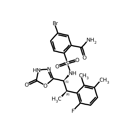 Cc1ccc(F)c([C@@H](C)[C@H](NS(=O)(=O)c2ccc(Br)cc2C(N)=O)c2n[nH]c(=O)o2)c1C